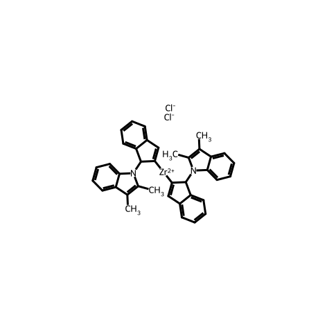 Cc1c(C)n(C2[C]([Zr+2][C]3=Cc4ccccc4C3n3c(C)c(C)c4ccccc43)=Cc3ccccc32)c2ccccc12.[Cl-].[Cl-]